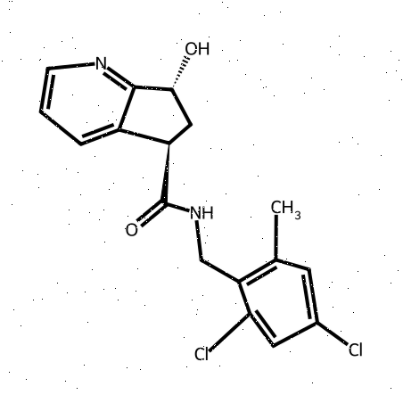 Cc1cc(Cl)cc(Cl)c1CNC(=O)[C@@H]1C[C@@H](O)c2ncccc21